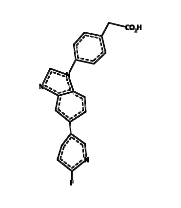 O=C(O)Cc1ccc(-n2cnc3cc(-c4ccc(F)nc4)ccc32)cc1